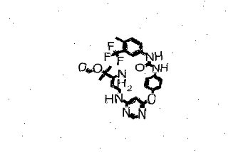 Cc1ccc(NC(=O)Nc2ccc(Oc3cc(NCCC(N)C(C)(C)OC=O)ncn3)cc2)cc1C(F)(F)F